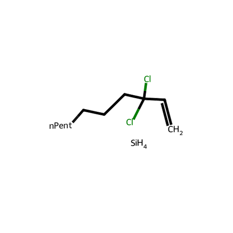 C=CC(Cl)(Cl)CCCCCCCC.[SiH4]